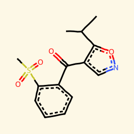 CC(C)c1oncc1C(=O)c1ccccc1S(C)(=O)=O